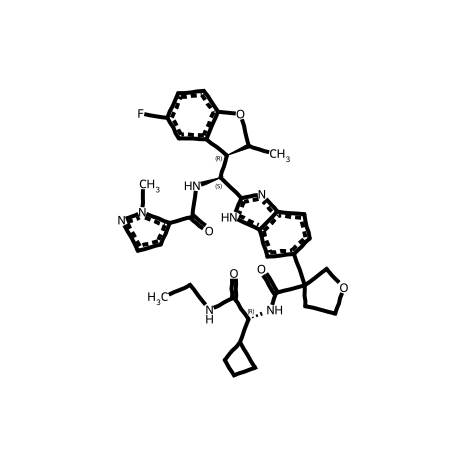 CCNC(=O)[C@H](NC(=O)C1(c2ccc3nc([C@@H](NC(=O)c4ccnn4C)[C@H]4c5cc(F)ccc5OC4C)[nH]c3c2)CCOC1)C1CCC1